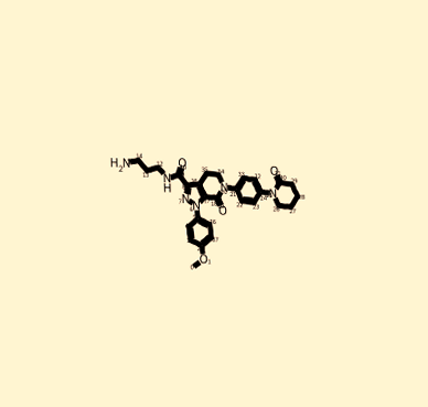 COc1ccc(-n2nc(C(=O)NCCCN)c3c2C(=O)N(c2ccc(N4CCCCC4=O)cc2)CC3)cc1